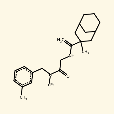 C=C(NCC(=O)N(CCC)Cc1cccc(C)c1)C1(C)CC2CCCC(C2)C1